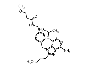 CCCCc1nc2c(N)nnc(OC(C)C)c2n1Cc1ccc(CNC(=O)CCOC)cc1